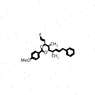 COc1ccc(C2O[C@@H]([C@@H](C)C=CCc3ccccc3)[C@H](C)[C@H](C=CF)O2)cc1